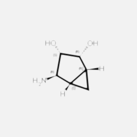 N[C@H]1[C@H](O)[C@H](O)[C@@H]2C[C@H]12